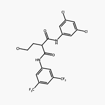 O=C(Nc1cc(Cl)cc(Cl)c1)C(CCCl)C(=O)Nc1cc(C(F)(F)F)cc(C(F)(F)F)c1